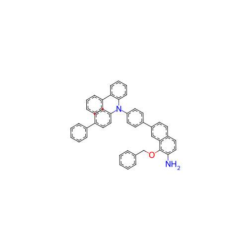 Nc1ccc2ccc(-c3ccc(N(c4ccc(-c5ccccc5)cc4)c4ccccc4-c4ccccc4)cc3)cc2c1OCc1ccccc1